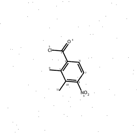 Cc1c(C(=O)Cl)ccc([N+](=O)[O-])c1C